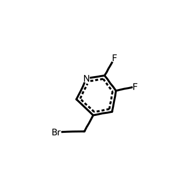 Fc1cc(CBr)cnc1F